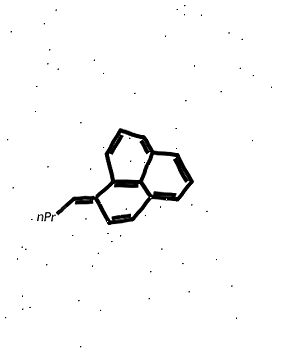 CCCC=c1ccc2cccc3cccc1c32